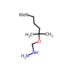 CNCCCC(C)(C)OCNN